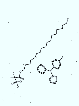 Fc1ccc([S+](c2ccccc2)c2ccccc2)cc1.O=C(OCCCCCCCCCCCCCCCCCCl)C(F)(F)S(=O)(=O)[O-]